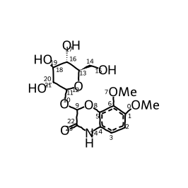 COc1ccc2c(c1OC)OC(OC1O[C@H](CO)[C@@H](O)[C@H](O)[C@H]1O)C(=O)N2